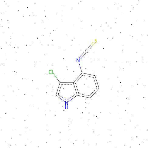 S=C=Nc1cccc2[nH]cc(Cl)c12